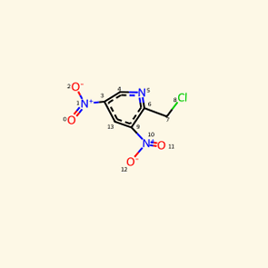 O=[N+]([O-])c1cnc(CCl)c([N+](=O)[O-])c1